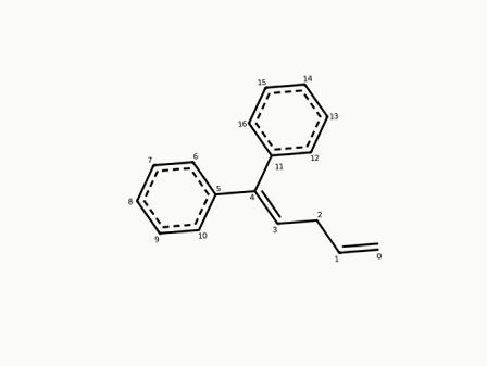 C=CCC=C(c1ccccc1)c1ccccc1